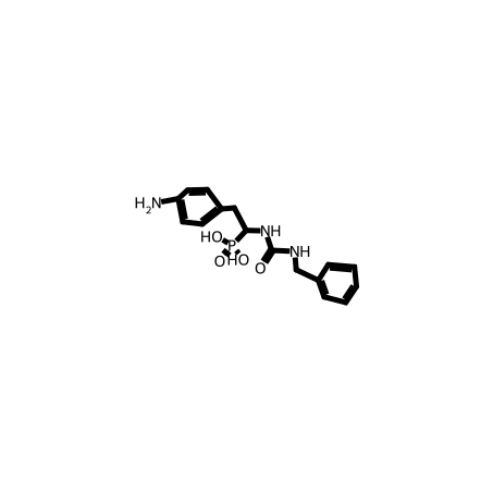 Nc1ccc(CC(NC(=O)NCc2ccccc2)P(=O)(O)O)cc1